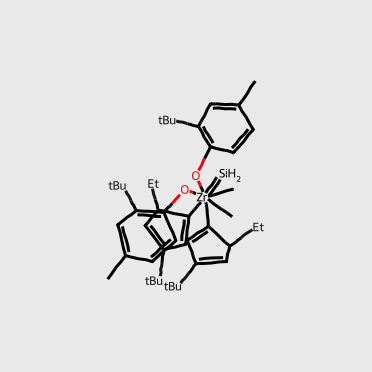 CCC1C=C(C(C)(C)C)C=[C]1[Zr]([CH3])([CH3])(=[SiH2])([O]c1ccc(C)cc1C(C)(C)C)([O]c1ccc(C)cc1C(C)(C)C)[C]1=CC(C(C)(C)C)=CC1CC